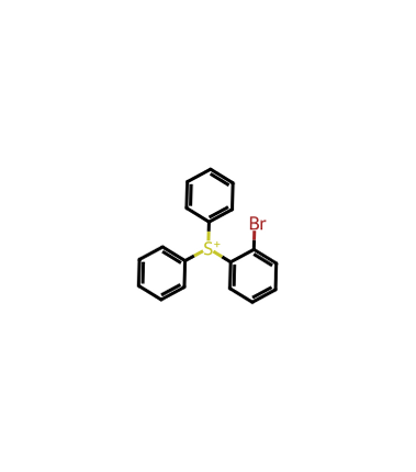 Brc1ccccc1[S+](c1ccccc1)c1ccccc1